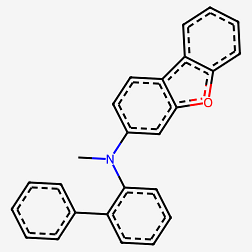 CN(c1ccc2c(c1)oc1ccccc12)c1ccccc1-c1ccccc1